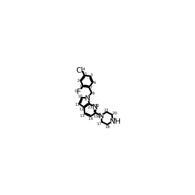 Fc1cc(Cl)ccc1Cn1ccc2ccc(N3CCNCC3)nc21